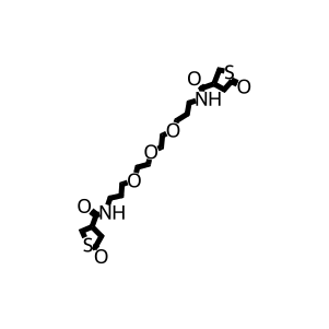 O=C1CC(C(=O)NCCCOCCOCCOCCCNC(=O)C2CSC(=O)C2)CS1